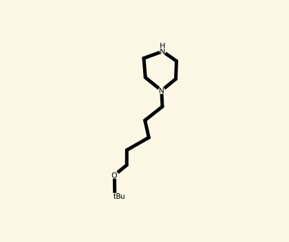 CC(C)(C)OCCCCCN1CCNCC1